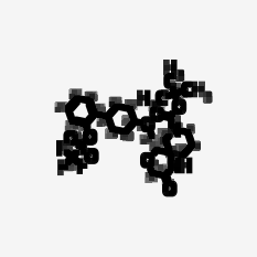 CC(C)(C)OC(=O)N1CCC[C@@]2(COCC(=O)N2)[C@@H]1COC1CCC(c2ccccc2OS(=O)(=O)C(F)(F)F)CC1